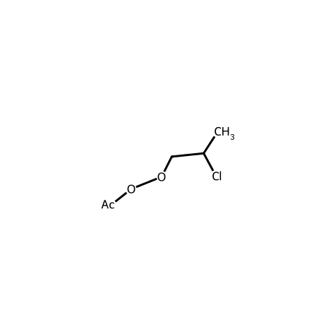 CC(=O)OOCC(C)Cl